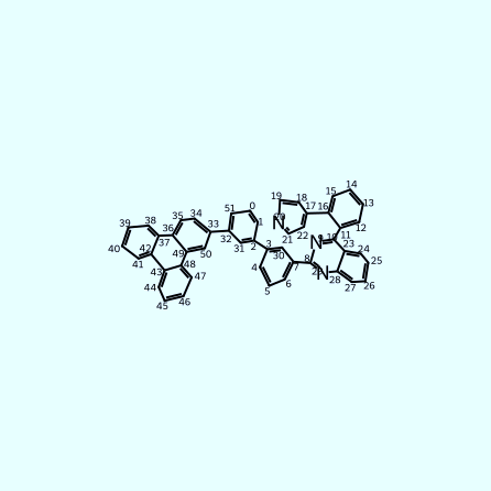 c1cc(-c2cccc(-c3nc(-c4ccccc4-c4ccncc4)c4ccccc4n3)c2)cc(-c2ccc3c4ccccc4c4ccccc4c3c2)c1